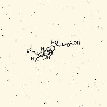 CC(C)CCC[C@@H](C)[C@H]1CC[C@H]2[C@@H]3CC=C4C[C@@H](C(O)COCCOCCO)CC[C@]4(C)[C@H]3CC[C@]12C